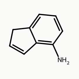 Nc1cccc2c1C=CC2